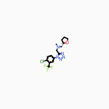 CN(Cc1nnnn1-c1ccc(Cl)c(C(F)(F)F)c1)C[C@@H]1CCCO1